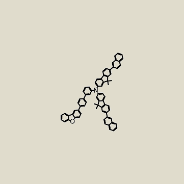 CC1(C)c2cc(-c3ccc4ccccc4c3)ccc2-c2ccc(N(c3cccc(-c4ccc(-c5ccc6oc7ccccc7c6c5)cc4)c3)c3ccc4c(c3)C(C)(C)c3cc(-c5ccc6ccccc6c5)ccc3-4)cc21